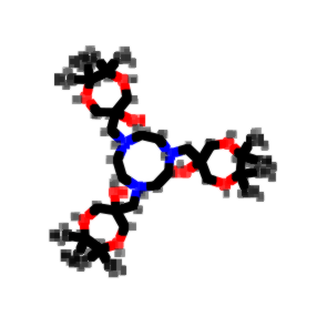 CC1(C)OCC(O)(CN2CCN(CC3(O)COC(C)(C)C(C)(C)OC3)CCN(CC3(O)COC(C)(C)C(C)(C)OC3)CC2)COC1(C)C